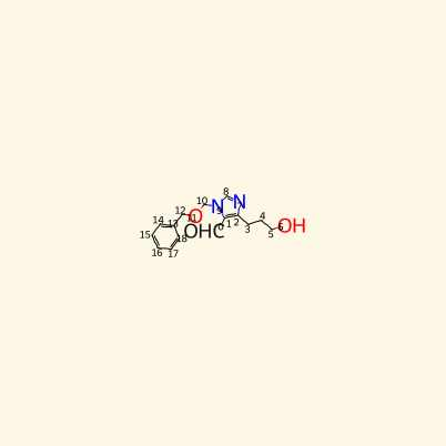 O=Cc1c(CCCO)ncn1COCc1ccccc1